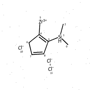 C[SiH](C)C1=[C]([Zr+3])CC=C1.[Cl-].[Cl-].[Cl-]